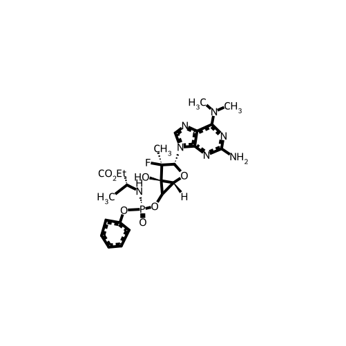 CCOC(=O)[C@@H](C)N[P@](=O)(Oc1ccccc1)OC1[C@H]2O[C@@H](n3cnc4c(N(C)C)nc(N)nc43)[C@](C)(F)[C@@]12O